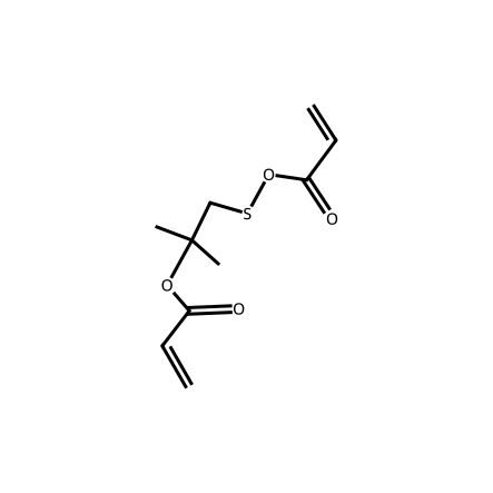 C=CC(=O)OSCC(C)(C)OC(=O)C=C